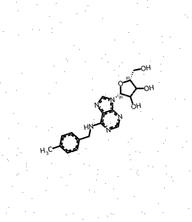 Cc1ccc(CNc2ncnc3c2ncn3[C@@H]2O[C@H](CO)C(O)C2O)cc1